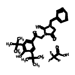 CC(C)(C)c1cc(C(=O)CN2C(=N)N(Cc3ccccc3)CC2=O)cc(C(C)(C)C)c1O.O=C(O)C(F)(F)F